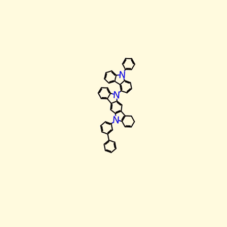 C1=Cc2c(c3cc4c(cc3n2-c2cccc(-c3ccccc3)c2)c2ccccc2n4-c2cccc3c2c2ccccc2n3-c2ccccc2)CC1